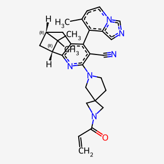 C=CC(=O)N1CC2(CCN(c3nc4c(c(-c5c(C)ccn6cncc56)c3C#N)C[C@H]3C[C@@H]4C3(C)C)C2)C1